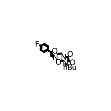 CCCCN1C(=O)C(=O)N(Cc2ncc(-c3ccc(F)cc3)o2)C1=O